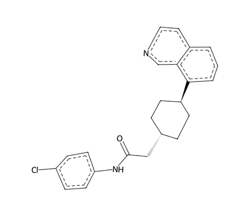 O=C(C[C@H]1CC[C@H](c2cccc3ccncc32)CC1)Nc1ccc(Cl)cc1